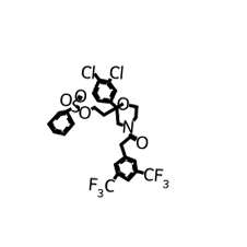 O=C(Cc1cc(C(F)(F)F)cc(C(F)(F)F)c1)N1CCOC(CCOS(=O)(=O)c2ccccc2)(c2ccc(Cl)c(Cl)c2)C1